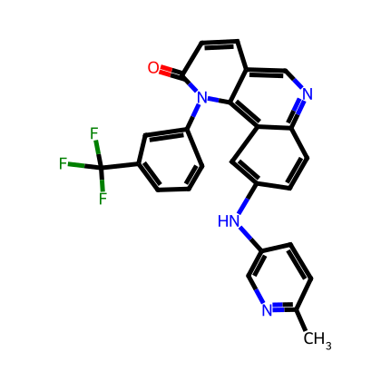 Cc1ccc(Nc2ccc3ncc4ccc(=O)n(-c5cccc(C(F)(F)F)c5)c4c3c2)cn1